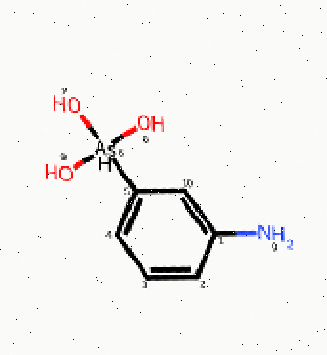 Nc1cccc([AsH](O)(O)O)c1